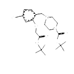 CC(C)(C)OC(=O)COc1cc(Cl)ccc1CN1CCN(C(=O)OC(C)(C)C)CC1